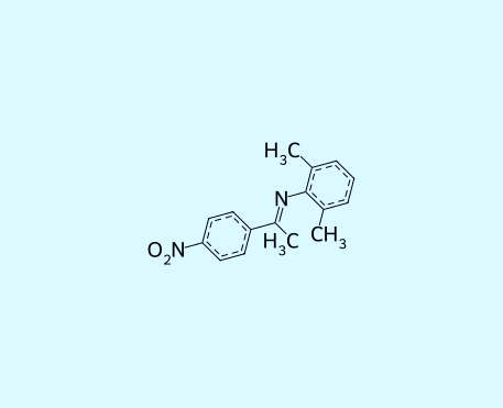 CC(=Nc1c(C)cccc1C)c1ccc([N+](=O)[O-])cc1